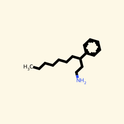 CCCCCCCC(CCN)c1ccccc1